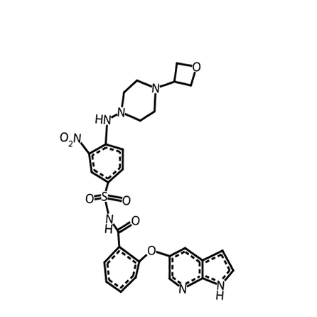 O=C(NS(=O)(=O)c1ccc(NN2CCN(C3COC3)CC2)c([N+](=O)[O-])c1)c1ccccc1Oc1cnc2[nH]ccc2c1